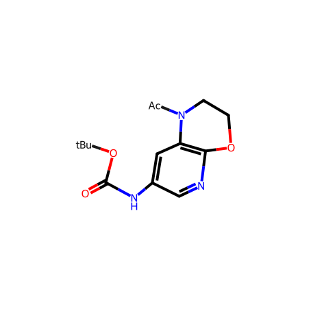 CC(=O)N1CCOc2ncc(NC(=O)OC(C)(C)C)cc21